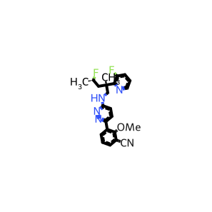 COc1c(C#N)cccc1-c1ccc(NC[C@](C)(C[C@H](C)F)c2ncccc2F)nn1